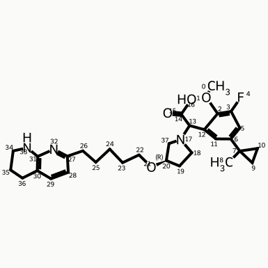 COc1c(F)cc(C2(C)CC2)cc1C(C(=O)O)N1CC[C@@H](OCCCCCc2ccc3c(n2)NCCC3)C1